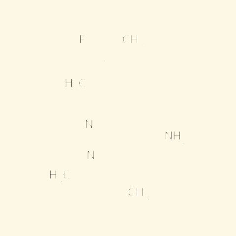 Cc1c(N)c(CC(C)(C)F)nn1C